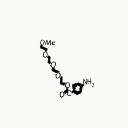 COCCOCCOCCOCCOC(=O)Oc1ccc(N)cc1